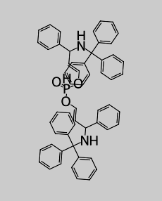 O=[PH](O/C=C/C(NC(c1ccccc1)(c1ccccc1)c1ccccc1)c1ccccc1)O/C=C/C(NC(c1ccccc1)(c1ccccc1)c1ccccc1)c1ccccc1